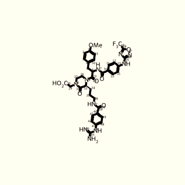 COc1ccc(CC(NC(=O)c2ccc(Nc3noc(C(F)(F)F)n3)cc2)C(=O)N2CCN(CC(=O)O)C(=O)[C@@H]2CCCNC(=O)c2ccc(NC(=N)N)cc2)cc1